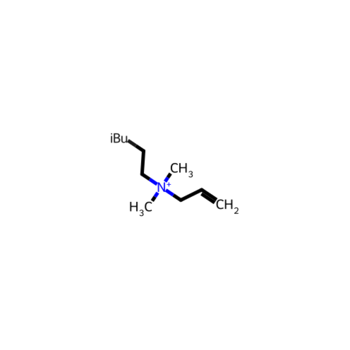 C=CC[N+](C)(C)CCC(C)CC